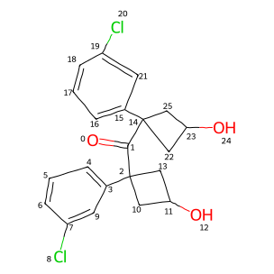 O=C(C1(c2cccc(Cl)c2)CC(O)C1)C1(c2cccc(Cl)c2)CC(O)C1